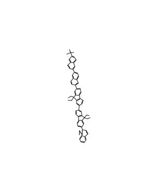 CCC1(CC)c2cc(-c3ccc4c(c3)C(CC)(CC)c3cc(-c5ccc6ccccc6n5)ccc3-4)ccc2-c2ccc(-c3ccc4cc(-c5ccc6cc(C(C)(C)C)ccc6c5)ccc4c3)cc21